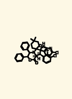 CC1(C)CCC2(CC1)N1C(c3ccccc3)C(c3ccccc3)OC(=O)[C@H]1[C@H](c1cccc(Cl)c1F)[C@@]21C(=O)Nc2nc(Cl)ccc21